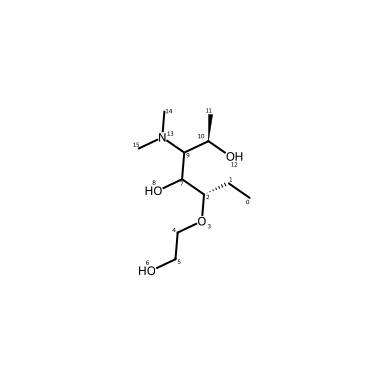 CC[C@H](OCCO)C(O)C([C@@H](C)O)N(C)C